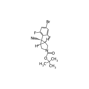 CC(C)(C)OC(=O)N1C[C@@H]2[C@H](C1)[C@]2(C#N)c1c(F)cc(Br)cc1F